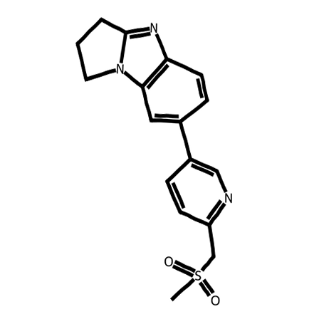 CS(=O)(=O)Cc1ccc(-c2ccc3nc4n(c3c2)CCC4)cn1